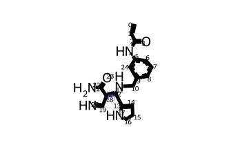 C=CC(=O)Nc1cccc(CN/C(C2=CCCN2)=C(/C=N)C(N)=O)c1